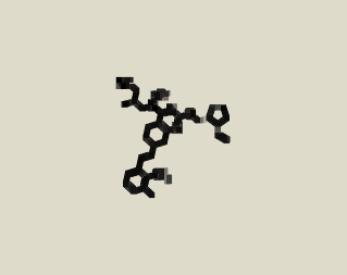 C=CC1CCC[C@H]1COc1nc2c(c(N(CCC)C[C@@H](C)CC#N)n1)CCC(/C=C/c1cccc(C)c1C(F)(F)F)C2